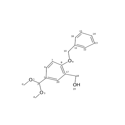 COC(OC)c1ccc(OCc2ccccc2)c(CO)c1